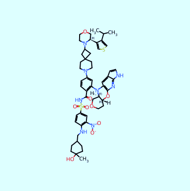 CC(C)c1cscc1[C@@H]1COCCN1C1CC2(CCN(c3ccc(C(=O)NS(=O)(=O)c4ccc(NCC5CCC(C)(O)CC5)c([N+](=O)[O-])c4)c(N4c5cc6cc[nH]c6nc5O[C@@H]5CCOC[C@H]54)c3)CC2)C1